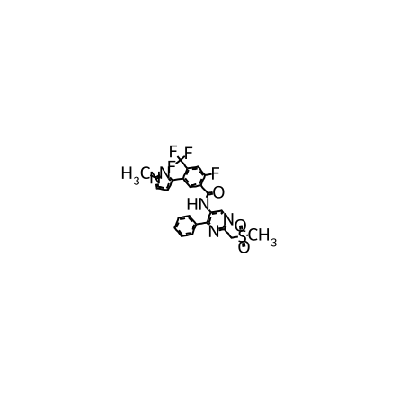 Cn1ccc(-c2cc(C(=O)Nc3cnc(CS(C)(=O)=O)nc3-c3ccccc3)c(F)cc2C(F)(F)F)n1